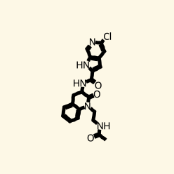 CC(=O)NCCN1C(=O)C(NC(=O)c2cc3cc(Cl)ncc3[nH]2)Cc2ccccc21